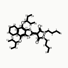 CCCCN1C(=O)C(=C2Sc3c(OC(CC)CC)c4c(c(OC(CC)CC)c3S2)CCCC4)C(=O)N1CCCC